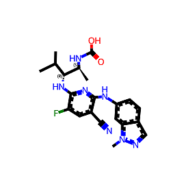 CC(C)[C@@H](Nc1nc(Nc2ccc3cnn(C)c3c2)c(C#N)cc1F)[C@H](C)NC(=O)O